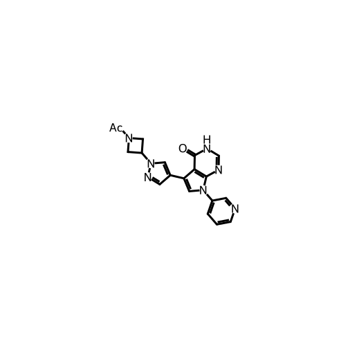 CC(=O)N1CC(n2cc(-c3cn(-c4cccnc4)c4nc[nH]c(=O)c34)cn2)C1